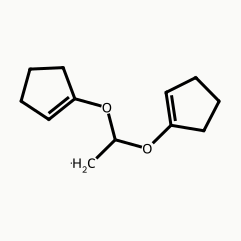 [CH2]C(OC1=CCCC1)OC1=CCCC1